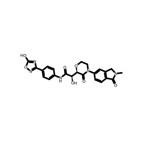 CN1Cc2cc(N3CCO[C@H]([C@@H](O)C(=O)Nc4ccc(-c5noc(O)n5)cc4)C3=O)ccc2C1=O